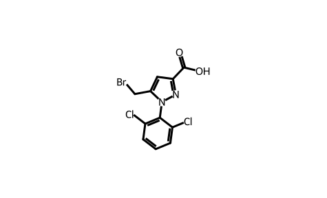 O=C(O)c1cc(CBr)n(-c2c(Cl)cccc2Cl)n1